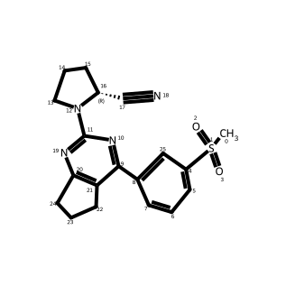 CS(=O)(=O)c1cccc(-c2nc(N3CCC[C@@H]3C#N)nc3c2CCC3)c1